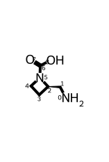 NC[C@H]1CCN1C(=O)O